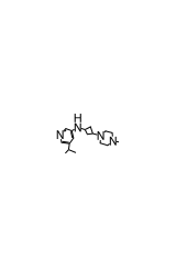 CC(C)c1cncc(NC2CC(N3CCN(C)CC3)C2)c1